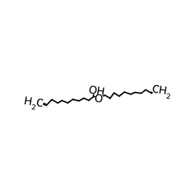 C=CCCCCCCCCCOC(O)CCCCCCCCC=C